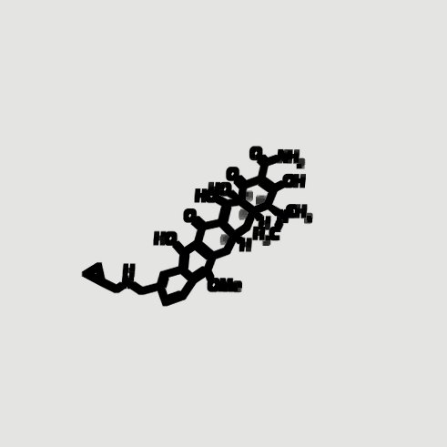 COc1c2c(c(O)c3cc(CNCC4CC4)ccc13)C(=O)C1=C(O)[C@]3(O)C(=O)C(C(N)=O)=C(O)[C@@H](N(C)C)[C@@H]3C[C@@H]1C2